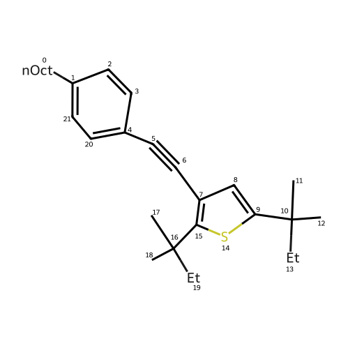 CCCCCCCCc1ccc(C#Cc2cc(C(C)(C)CC)sc2C(C)(C)CC)cc1